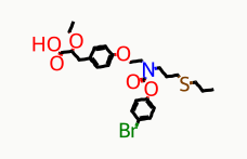 CCCSCCCN(CCOc1ccc(CC(OCC)C(=O)O)cc1)C(=O)Oc1ccc(Br)cc1